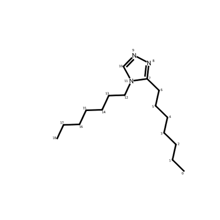 CCCCCCCc1nncn1CCCCCCC